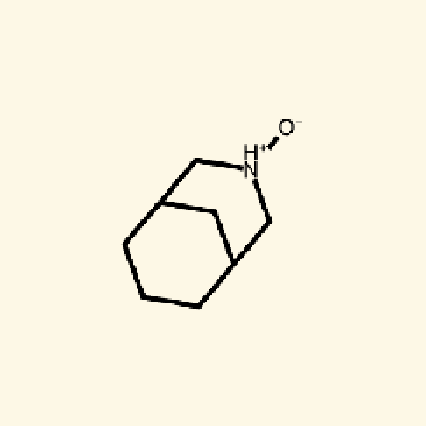 [O-][NH+]1CC2CCCC(C2)C1